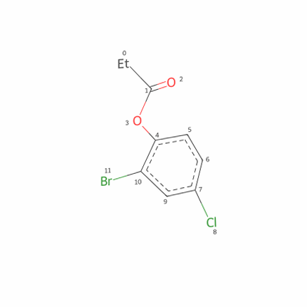 CCC(=O)Oc1ccc(Cl)cc1Br